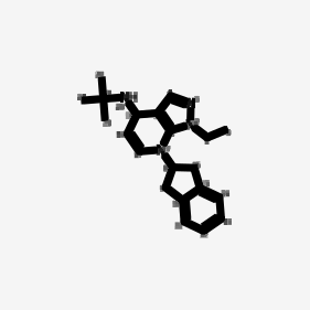 CCn1ncc2c1N(C1Cc3ccccc3C1)C=CC2NC(C)(C)C